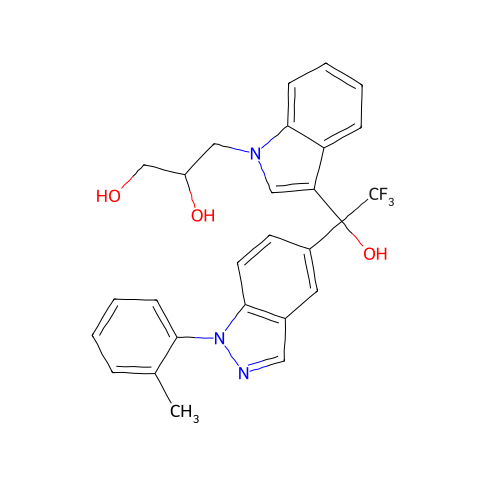 Cc1ccccc1-n1ncc2cc(C(O)(c3cn(CC(O)CO)c4ccccc34)C(F)(F)F)ccc21